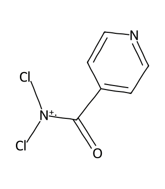 O=C(c1ccncc1)[N+](Cl)Cl